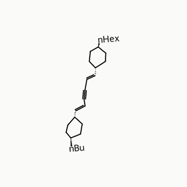 CCCCCC[C@H]1CC[C@H](/C=C/C#C/C=C/[C@H]2CC[C@H](CCCC)CC2)CC1